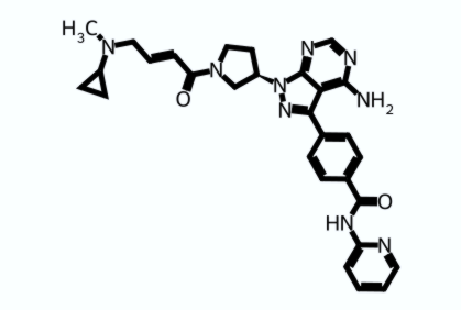 CN(C/C=C/C(=O)N1CC[C@@H](n2nc(-c3ccc(C(=O)Nc4ccccn4)cc3)c3c(N)ncnc32)C1)C1CC1